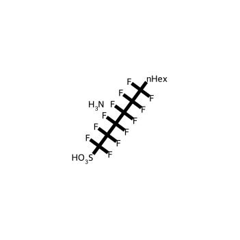 CCCCCCC(F)(F)C(F)(F)C(F)(F)C(F)(F)C(F)(F)C(F)(F)S(=O)(=O)O.N